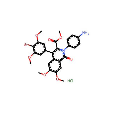 COC(=O)c1c(-c2cc(OC)c(Br)c(OC)c2)c2cc(OC)c(OC)cc2c(=O)n1-c1ccc(N)cc1.Cl